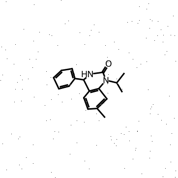 Cc1ccc2c(c1)N(C(C)C)C(=O)NC2c1ccccc1